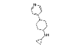 c1cc(C2CCC(NC3CC3)CC2)ccn1